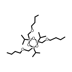 CCCCOC[Si]1(C(C)C)O[Si](COCCCC)(C(C)C)O[Si](COCCCC)(C(C)C)O1